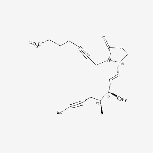 CCC#CC[C@H](C)[C@H](O)C=C[C@H]1CCC(=O)N1CC#CCCCC(=O)O